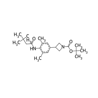 Cc1cc(C2CN(C(=O)OC(C)(C)C)C2)cc(C)c1NC(=O)CC(C)(C)C